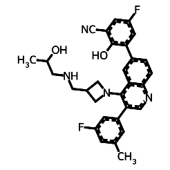 Cc1cc(F)cc(-c2cnc3ccc(-c4cc(F)cc(C#N)c4O)cc3c2N2CC(CNCC(C)O)C2)c1